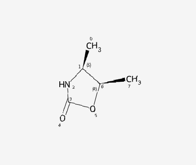 C[C@@H]1NC(=O)O[C@@H]1C